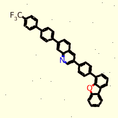 FC(F)(F)c1ccc(-c2ccc(-c3ccc4cc(-c5ccc(-c6cccc7c6oc6ccccc67)cc5)cnc4c3)cc2)cc1